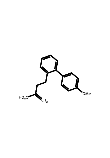 C=C(CCc1ccccc1-c1ccc(OC)cc1)C(=O)O